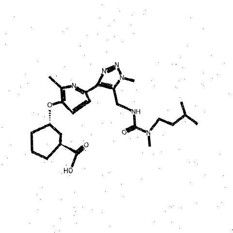 Cc1nc(-c2nnn(C)c2CNC(=O)N(C)CCC(C)C)ccc1O[C@H]1CCC[C@H](C(=O)O)C1